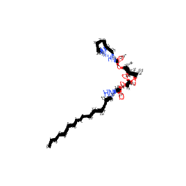 CCCCCCCCCCCCCCCNC(=O)OCC1OCC(COC(=O)NCc2ccccn2)O1